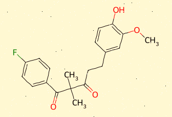 COc1cc(CCC(=O)C(C)(C)C(=O)c2ccc(F)cc2)ccc1O